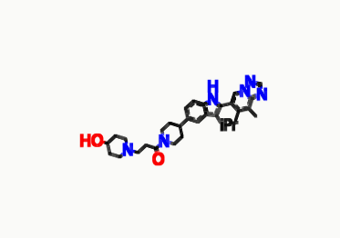 Cc1c(-c2[nH]c3ccc(C4CCN(C(=O)CCN5CCC(O)CC5)CC4)cc3c2C(C)C)cn2ncnc2c1C